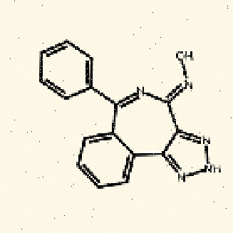 ON=c1nc(-c2ccccc2)c2ccccc2c2n[nH]nc12